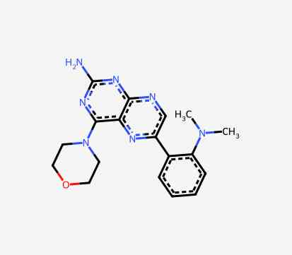 CN(C)c1ccccc1-c1cnc2nc(N)nc(N3CCOCC3)c2n1